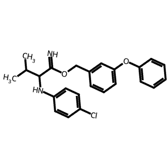 CC(C)C(Nc1ccc(Cl)cc1)C(=N)OCc1cccc(Oc2ccccc2)c1